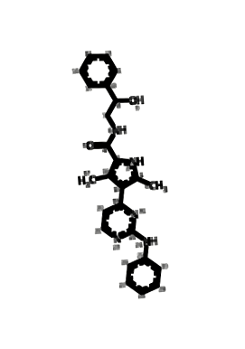 Cc1[nH]c(C(=O)NCC(O)c2ccccc2)c(C)c1-c1ccnc(Nc2ccccc2)n1